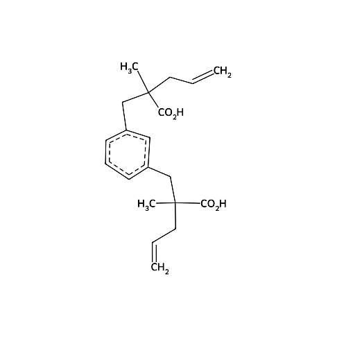 C=CCC(C)(Cc1cccc(CC(C)(CC=C)C(=O)O)c1)C(=O)O